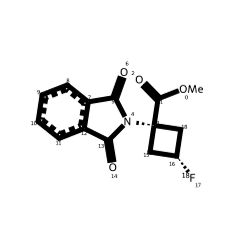 COC(=O)[C@]1(N2C(=O)c3ccccc3C2=O)C[C@@H]([18F])C1